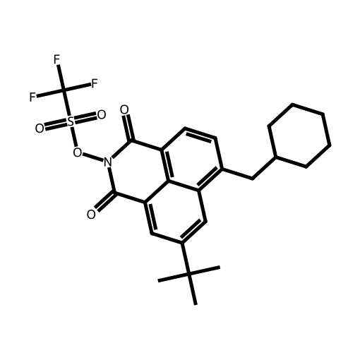 CC(C)(C)c1cc2c3c(ccc(CC4CCCCC4)c3c1)C(=O)N(OS(=O)(=O)C(F)(F)F)C2=O